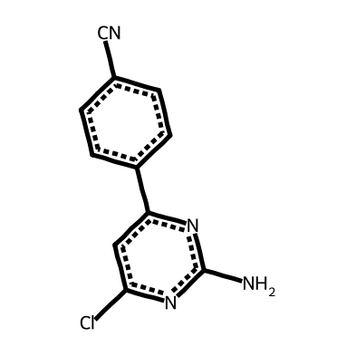 N#Cc1ccc(-c2cc(Cl)nc(N)n2)cc1